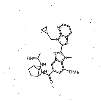 COc1cc(C(=O)N2CC3CCC2[C@@H]3NC(C)=N)cc2nc(-c3cc4cccnc4n3CC3CC3)n(C)c12